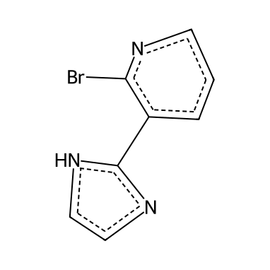 Brc1ncccc1-c1ncc[nH]1